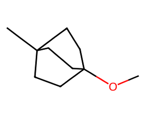 COC12CCC(C)(CC1)CC2